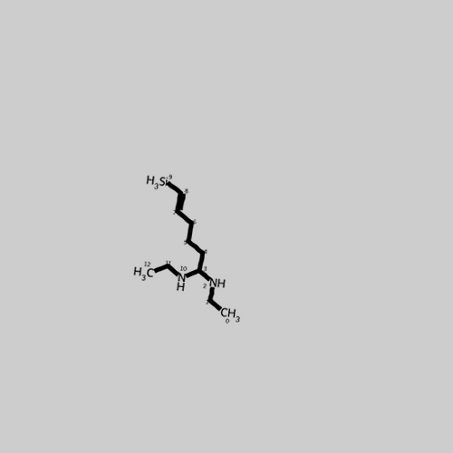 CCNC(CCCC=C[SiH3])NCC